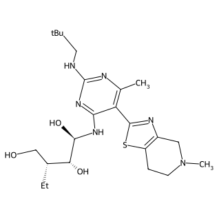 CC[C@H](CO)[C@@H](O)[C@@H](O)Nc1nc(NCC(C)(C)C)nc(C)c1-c1nc2c(s1)CCN(C)C2